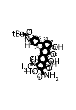 CN(C)C1C(O)=C(C(N)=O)C(=O)C2(O)C(O)=C3C(=O)c4c(O)ccc(-c5ccc(NC(=O)C(C)(C)C)cc5)c4CC3CC12